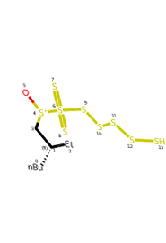 CCCC[C@@H](CC)C[S+]([O-])S(=S)(=S)SSSSS